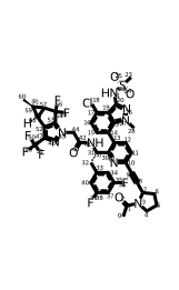 CC(=O)N1CCCC1C#Cc1ccc(-c2ccc(Cl)c3c(NS(C)(=O)=O)nn(C)c23)c([C@H](Cc2cc(F)cc(F)c2)NC(=O)Cn2nc(C(F)(F)F)c3c2C(F)(F)C2[C@@H]3[C@H]2C)n1